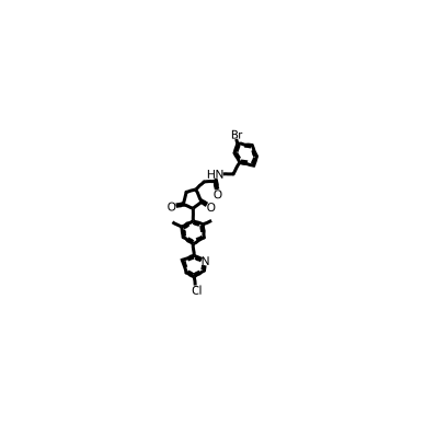 Cc1cc(-c2ccc(Cl)cn2)cc(C)c1C1C(=O)CC(CC(=O)NCc2cccc(Br)c2)C1=O